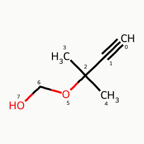 C#CC(C)(C)OCO